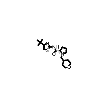 CC(C)(C)c1csc(NC(=O)[C@@H]2CCCN2CC2CCOCC2)n1